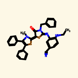 CCNc1ccc(C#N)cc1N=C1SC(=C2SC(c3ccccc3)=C(c3ccccc3)N2C)C(=O)N1Cc1ccccc1